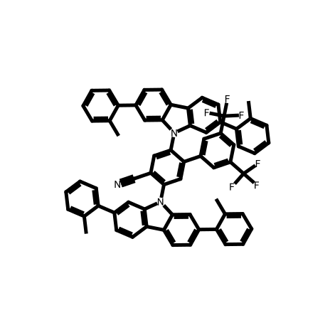 Cc1ccccc1-c1ccc2c3ccc(-c4ccccc4C)cc3n(-c3cc(-c4cc(C(F)(F)F)cc(C(F)(F)F)c4)c(-n4c5cc(-c6ccccc6C)ccc5c5ccc(-c6ccccc6C)cc54)cc3C#N)c2c1